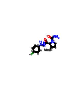 COC1CCN(C(N)=O)C1C(=O)NNc1ccc(F)cc1